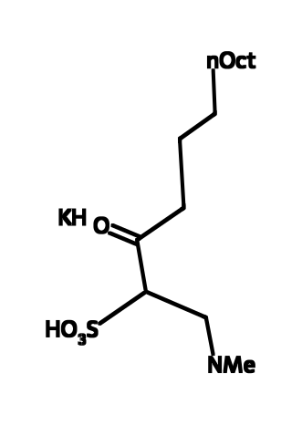 CCCCCCCCCCCC(=O)C(CNC)S(=O)(=O)O.[KH]